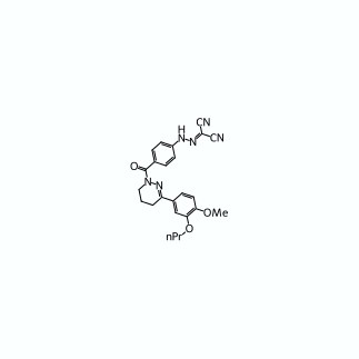 CCCOc1cc(C2=NN(C(=O)c3ccc(NN=C(C#N)C#N)cc3)CCC2)ccc1OC